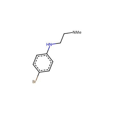 CNCCNc1ccc(Br)cc1